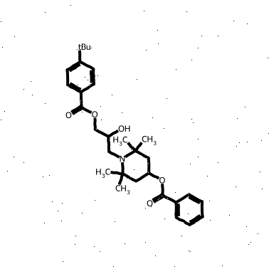 CC(C)(C)c1ccc(C(=O)OCC(O)CN2C(C)(C)CC(OC(=O)c3ccccc3)CC2(C)C)cc1